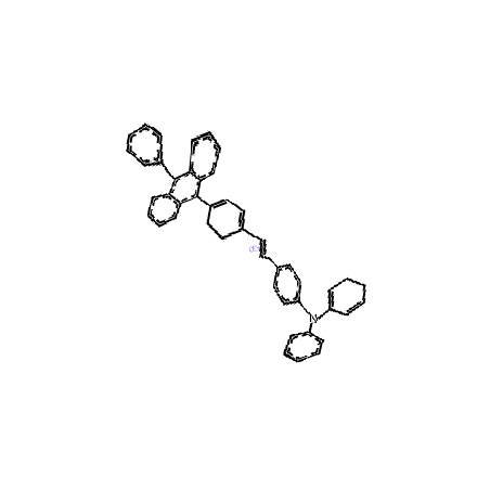 C1=CC(N(c2ccccc2)c2ccc(/C=C/C3=CC=C(c4c5ccccc5c(-c5ccccc5)c5ccccc45)CC3)cc2)=CCC1